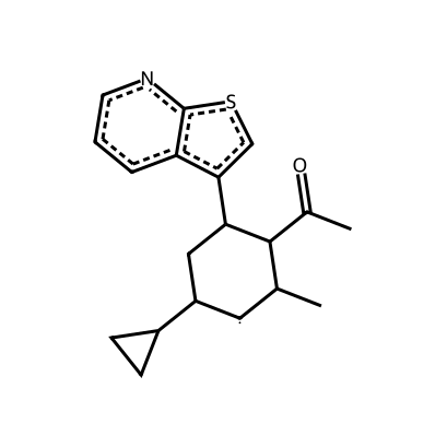 CC(=O)C1C(C)[CH]C(C2CC2)CC1c1csc2ncccc12